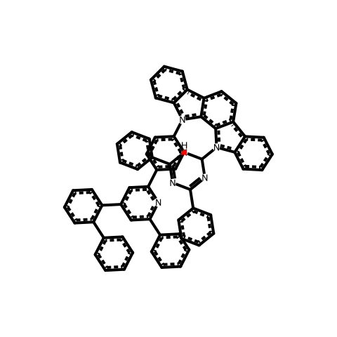 c1ccc(C2=NC(n3c4ccccc4c4ccc5c6ccccc6n(-c6ccc(-c7cc(-c8ccccc8-c8ccccc8)cc(-c8ccccc8)n7)cc6)c5c43)NC(c3ccccc3)=N2)cc1